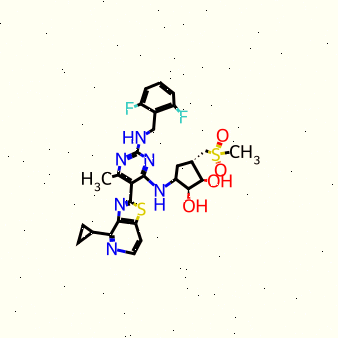 Cc1nc(NCc2c(F)cccc2F)nc(NC2C[C@H](CS(C)(=O)=O)[C@@H](O)[C@H]2O)c1-c1nc2c(C3CC3)nccc2s1